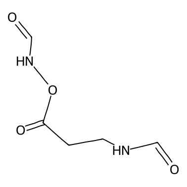 O=CNCCC(=O)ONC=O